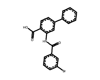 O=C(Nc1cc(-c2ccccc2)ccc1C(=O)O)c1cccc(Br)c1